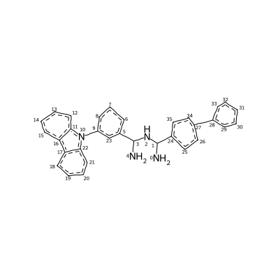 NC(NC(N)c1cccc(-n2c3ccccc3c3ccccc32)c1)c1ccc(-c2ccccc2)cc1